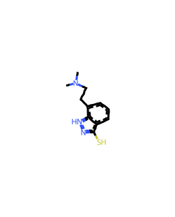 CN(C)CCc1cccc2c(S)n[nH]c12